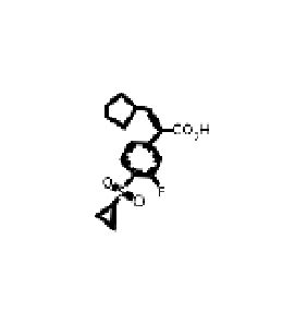 O=C(O)/C(=C/C1CCCC1)c1ccc(S(=O)(=O)C2CC2)c(F)c1